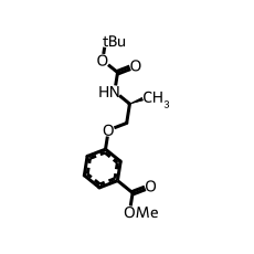 COC(=O)c1cccc(OC[C@H](C)NC(=O)OC(C)(C)C)c1